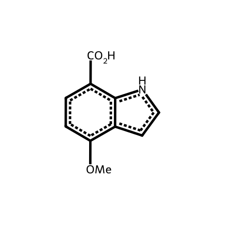 COc1ccc(C(=O)O)c2[nH]ccc12